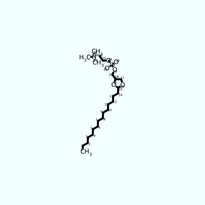 CCCCCCCCCCCCCCCC1OCC(COP(=O)([O-])OCC[N+](C)(C)C)O1